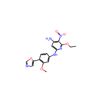 CCOc1nc(Nc2ccc(-c3cnco3)c(OC)c2)cc(N)c1[N+](=O)[O-]